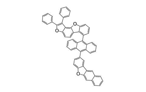 c1ccc(-c2oc3ccc4c(oc5cccc(-c6c7ccccc7c(-c7ccc8oc9cc%10ccccc%10cc9c8c7)c7ccccc67)c54)c3c2-c2ccccc2)cc1